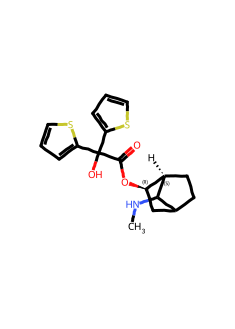 CNC1C2CC[C@@H]1[C@H](OC(=O)C(O)(c1cccs1)c1cccs1)C2